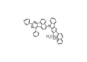 CC1(C)c2cc3c(cc2-c2ccc4ccccc4c21)c1ccccc1n3-c1ccc2c3c(cccc13)-c1nc(-c3ccccc3)nc(-c3ccccc3)c1-2